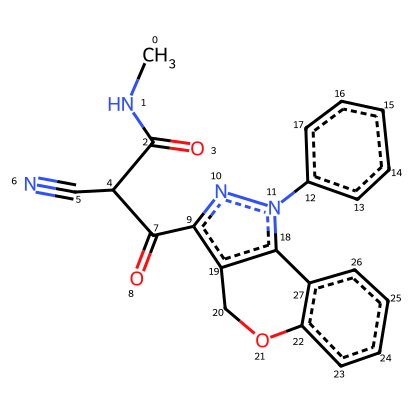 CNC(=O)C(C#N)C(=O)c1nn(-c2ccccc2)c2c1COc1ccccc1-2